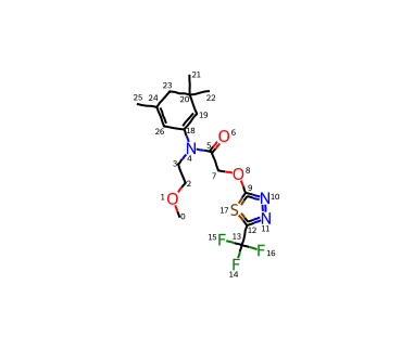 COCCN(C(=O)COc1nnc(C(F)(F)F)s1)C1=CC(C)(C)CC(C)=C1